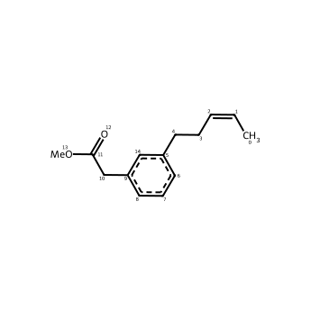 C/C=C\CCc1cccc(CC(=O)OC)c1